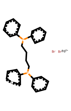 [Br-].[Br-].[Pd+2].c1ccc(P(CCCCP(c2ccccc2)c2ccccc2)c2ccccc2)cc1